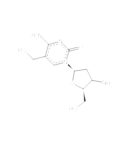 Nc1nc(=O)n([C@H]2CC(N)[C@@H](CO)O2)cc1CO